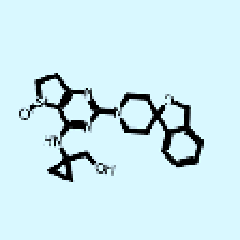 [O-][S+]1CCc2nc(N3CCC4(CC3)OCc3ccccc34)nc(NC3(CO)CC3)c21